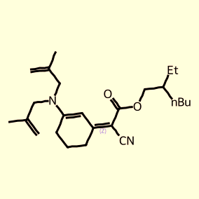 C=C(C)CN(CC(=C)C)C1=C/C(=C(/C#N)C(=O)OCC(CC)CCCC)CCC1